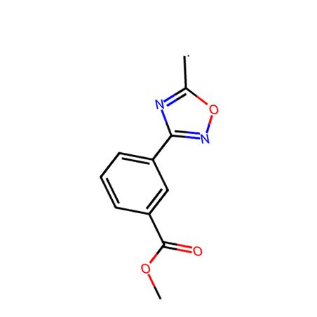 [CH2]c1nc(-c2cccc(C(=O)OC)c2)no1